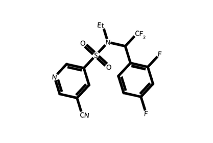 CCN(C(c1ccc(F)cc1F)C(F)(F)F)S(=O)(=O)c1cncc(C#N)c1